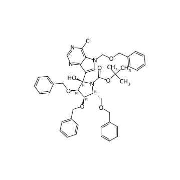 CC(C)(C)OC(=O)N1[C@H](COCc2ccccc2)[C@@H](OCc2ccccc2)[C@@H](OCc2ccccc2)[C@]1(O)c1cn(COCc2ccccc2)c2c(Cl)ncnc12